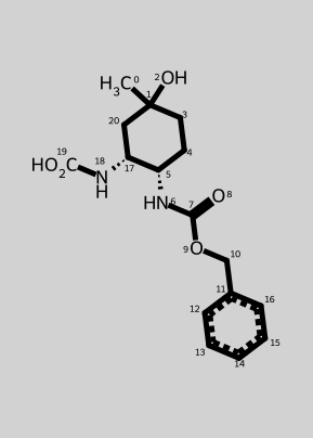 CC1(O)CC[C@H](NC(=O)OCc2ccccc2)[C@H](NC(=O)O)C1